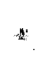 C=CCOC(=O)CC(C(=O)OCC=C)S(=O)(=O)O.[NaH].[NaH].[NaH].[NaH]